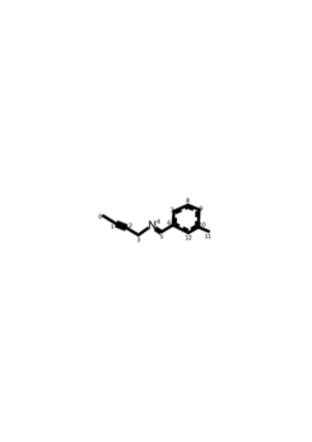 CC#CCN=Cc1cccc(C)c1